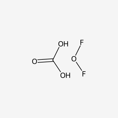 FOF.O=C(O)O